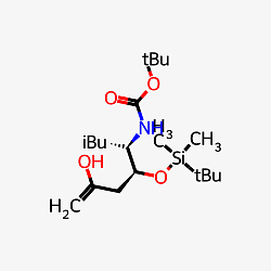 C=C(O)C[C@H](O[Si](C)(C)C(C)(C)C)[C@H](NC(=O)OC(C)(C)C)[C@@H](C)CC